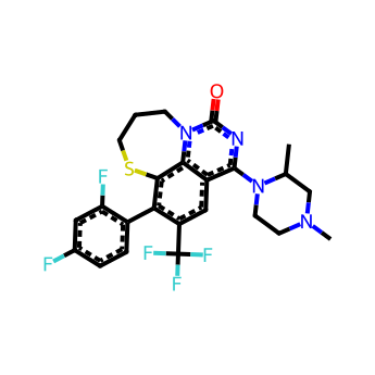 CC1CN(C)CCN1c1nc(=O)n2c3c(c(-c4ccc(F)cc4F)c(C(F)(F)F)cc13)SCCC2